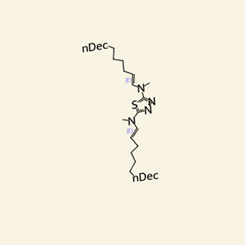 CCCCCCCCCCCCCC/C=C/N(C)c1nnc(N(C)/C=C/CCCCCCCCCCCCCC)s1